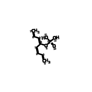 C=C/C=C\C(=C/C=C)OP(=O)(O)O